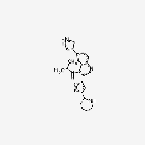 CC(C)Nc1c(-c2cc(C3CCCCN3)no2)cnc2ccc(-c3cn[nH]c3)cc12